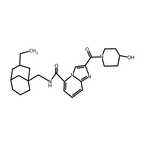 CCC1CC2CCCC(CNC(=O)c3cccc4nc(C(=O)N5CCC(O)CC5)cn34)(C1)C2